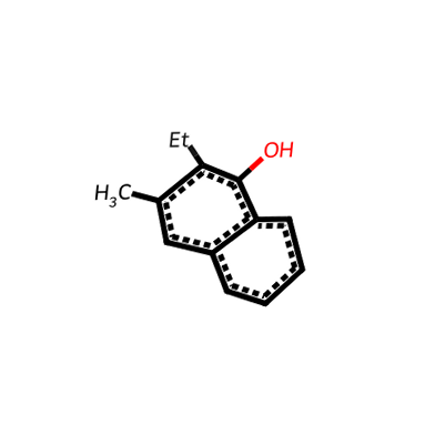 CCc1c(C)cc2ccccc2c1O